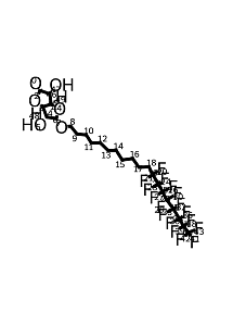 O=C1O[C@@H]2[C@@H](O)[C@H](OCCCCCCCCCCCC(F)(F)C(F)(F)C(F)(F)C(F)(F)C(F)(F)C(F)(F)C(F)(F)C(F)(F)F)O[C@@H]2[C@@H]1O